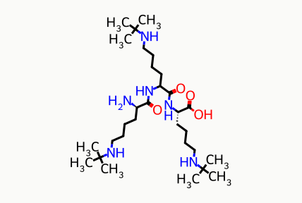 CC(C)(C)NCCCCC(NC(=O)[C@H](N)CCCCNC(C)(C)C)C(=O)N[C@@H](CCCCNC(C)(C)C)C(=O)O